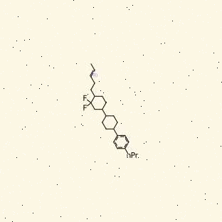 C/C=C/CCC1CCC(C2CCC(c3ccc(CCC)cc3)CC2)CC1(F)F